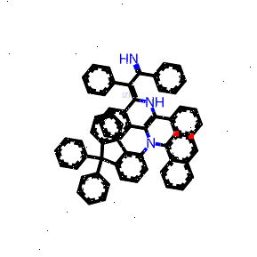 N=C(/C(=C1\NC(c2ccccc2)=C(N(c2cccc3c2-c2ccccc2C3(c2ccccc2)c2ccccc2)c2cccc3ccccc23)c2ccccc21)c1ccccc1)c1ccccc1